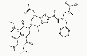 CC[C@H](C)[C@H](NC(=O)CN(C)C)C(=O)N(COC(=O)CC(C)C)[C@H](C[C@@H](OC(C)=O)c1nc(C(=O)N[C@@H](Cc2ccccc2)C[C@H](C)C(=O)O)cs1)C(C)C